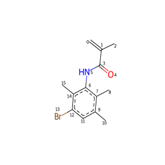 C=C(C)C(=O)Nc1c(C)c(C)cc(Br)c1C